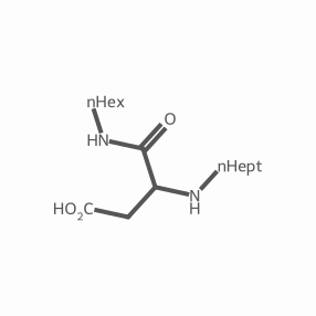 CCCCCCCNC(CC(=O)O)C(=O)NCCCCCC